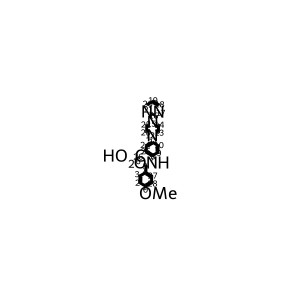 COc1ccc(C(=O)Nc2ccc(N3CCN(c4ncccn4)CC3)cc2C(=O)O)cc1